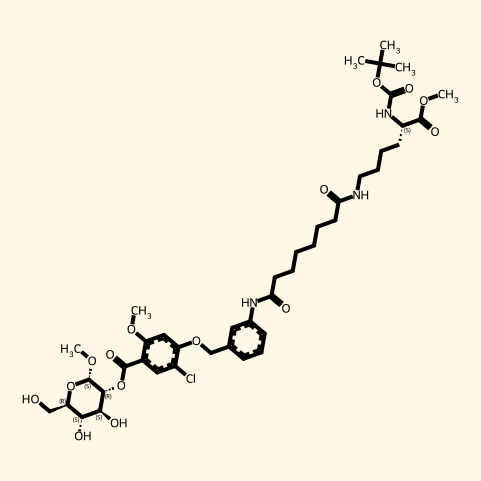 COC(=O)[C@H](CCCCNC(=O)CCCCCCC(=O)Nc1cccc(COc2cc(OC)c(C(=O)O[C@H]3[C@@H](OC)O[C@H](CO)[C@@H](O)[C@@H]3O)cc2Cl)c1)NC(=O)OC(C)(C)C